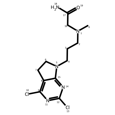 CN(CCCN1CCc2c(Cl)nc(Cl)nc21)CC(N)=O